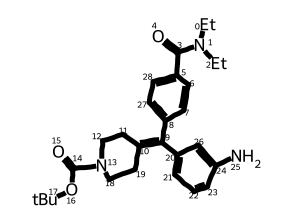 CCN(CC)C(=O)c1ccc(C(=C2CCN(C(=O)OC(C)(C)C)CC2)c2cccc(N)c2)cc1